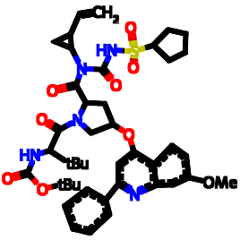 C=CC1CC1N(C(=O)NS(=O)(=O)C1CCCC1)C(=O)C1CC(Oc2cc(-c3ccccc3)nc3cc(OC)ccc23)CN1C(=O)C(NC(=O)OC(C)(C)C)C(C)(C)C